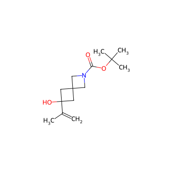 C=C(C)C1(O)CC2(CN(C(=O)OC(C)(C)C)C2)C1